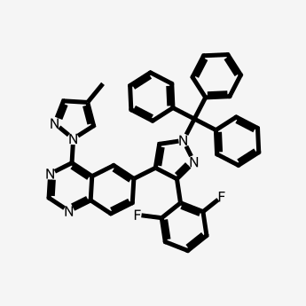 Cc1cnn(-c2ncnc3ccc(-c4cn(C(c5ccccc5)(c5ccccc5)c5ccccc5)nc4-c4c(F)cccc4F)cc23)c1